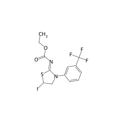 CCOC(=O)N=C1SC(I)CN1c1cccc(C(F)(F)F)c1